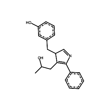 CC(O)CC1=C(c2ccccc2)N=CC1Cc1cccc(O)c1